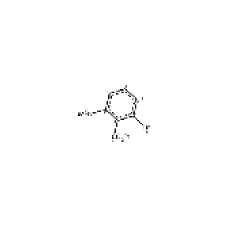 CCOC(=O)c1c(NC)ccnc1Br